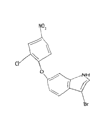 O=[N+]([O-])c1ccc(Oc2ccc3c(Br)c[nH]c3c2)c(Cl)c1